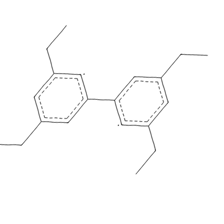 CCc1[c]c(-c2[c]c(CC)cc(CC)c2)cc(CC)c1